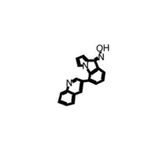 ON=C1c2cccc(-c3cnc4ccccc4c3)c2-n2cccc21